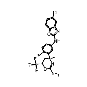 C[C@]1(c2cc(Nc3nc4cc(Cl)ccc4o3)ccc2F)C[C@@H](C(F)(F)F)OC(N)=N1